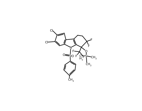 Cc1ccc(S(=O)(=O)n2c3c(c4cc(Cl)c(Cl)cc42)CCC(F)(F)C3(O[Si](C)(C)C)C(F)(F)F)cc1